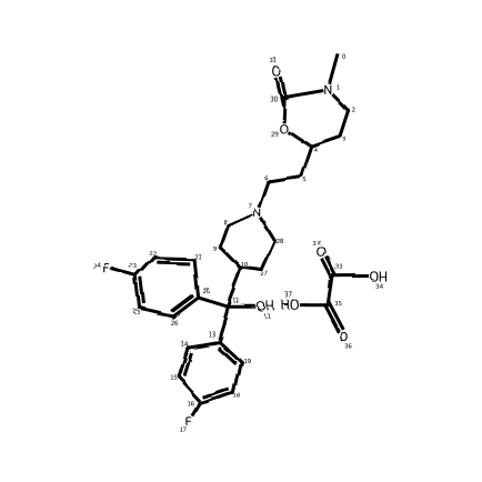 CN1CCC(CCN2CCC(C(O)(c3ccc(F)cc3)c3ccc(F)cc3)CC2)OC1=O.O=C(O)C(=O)O